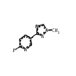 Cn1cnc(-c2ccc(F)nc2)n1